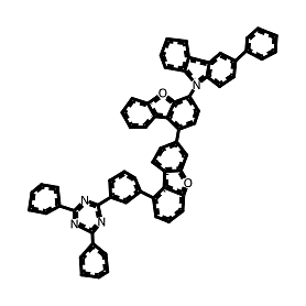 c1ccc(-c2ccc3c(c2)c2ccccc2n3-c2ccc(-c3ccc4c(c3)oc3cccc(-c5cccc(-c6nc(-c7ccccc7)nc(-c7ccccc7)n6)c5)c34)c3c2oc2ccccc23)cc1